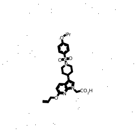 C=CCOc1ccc2c(C3CCN(S(=O)(=O)c4ccc(OC(C)C)cc4)CC3)cn(CC(=O)O)c2n1